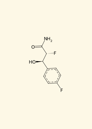 NC(=O)[C@H](F)[C@H](O)c1ccc(F)cc1